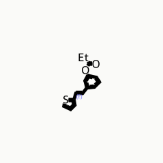 CCC(=O)Oc1cccc(/C=C/c2cccs2)c1